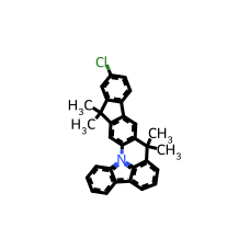 CC1(C)c2cc(Cl)ccc2-c2cc3c(cc21)-n1c2ccccc2c2cccc(c21)C3(C)C